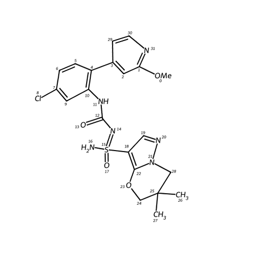 COc1cc(-c2ccc(Cl)cc2NC(=O)N=S(N)(=O)c2cnn3c2OCC(C)(C)C3)ccn1